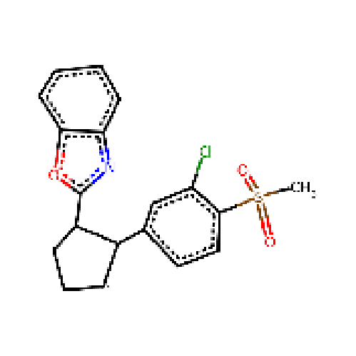 CS(=O)(=O)c1ccc(C2[CH]CCC2c2nc3ccccc3o2)cc1Cl